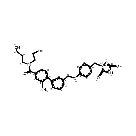 Cc1cc(C(=O)N(CCO)CCCO)ccc1-c1cccc(COc2ccc(Cn3oc(=O)[nH]c3=O)cc2)c1